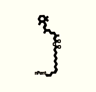 CCCCC/C=C\C/C=C\CCCCCCCC(=O)OC(=O)C=C(C)C=CC=C(C)C=CC1=C(C)CCCC1(C)C